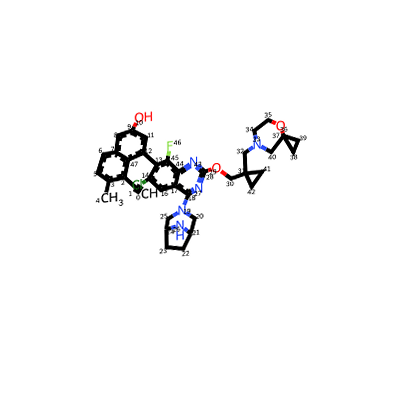 C#Cc1c(C)ccc2cc(O)cc(-c3c(Cl)cc4c(N5CC6CCC(C5)N6)nc(OCC5(CN6CCOC7(CC7)C6)CC5)nc4c3F)c12